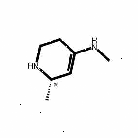 CNC1=C[C@H](C)NCC1